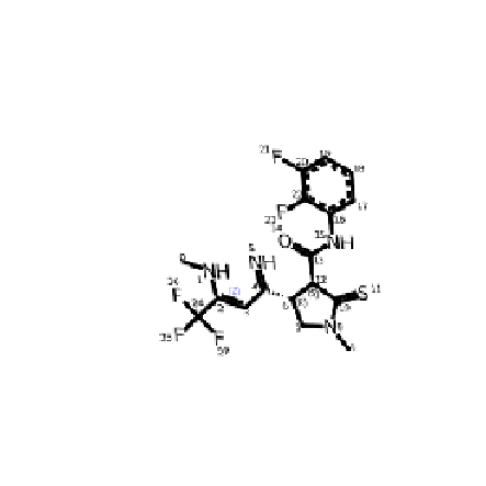 CN/C(=C\C(=N)[C@H]1CN(C)C(=S)[C@@H]1C(=O)Nc1cccc(F)c1F)C(F)(F)F